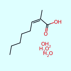 CCCCCC=C(C)C(=O)O.O.O.O